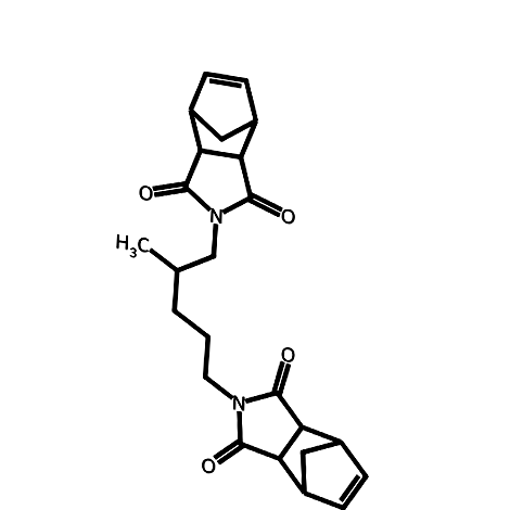 CC(CCCN1C(=O)C2C3C=CC(C3)C2C1=O)CN1C(=O)C2C3C=CC(C3)C2C1=O